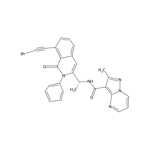 Cc1nn2cccnc2c1C(=O)N[C@H](C)c1cc2cccc(C#CC(C)C)c2c(=O)n1-c1ccccc1